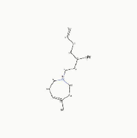 C=CCCC(CCC)CCN1CCC=C(C)CC1